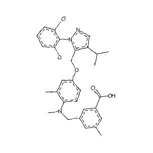 Cc1cc(CN(C)c2ccc(OCc3c(C(C)C)cnn3-c3c(Cl)cccc3Cl)cc2C)cc(C(=O)O)c1